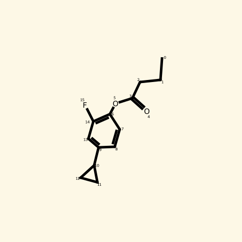 CCCC(=O)Oc1ccc(C2CC2)cc1F